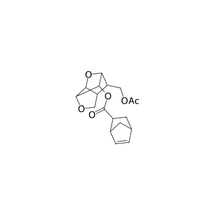 CC(=O)OCC1C2COC3C2OC1C3OC(=O)C1CC2C=CC1C2